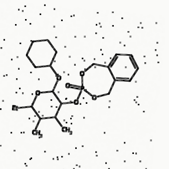 CCC1OC(OC2CCCCC2)C(OP2(=O)OCc3ccccc3CO2)C(C)C1C